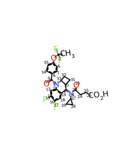 CC(F)(F)Oc1ccc(C(=O)N2c3cc(F)c(F)cc3C(N(C(=O)CCC(=O)O)C3CC3)C3CCC32)cc1